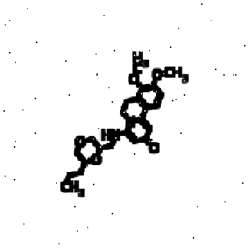 CCCC1COCC(CNc2cc(=O)cc3n2CCc2c-3ccc(OC)c2OC)O1